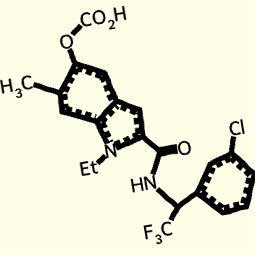 CCn1c(C(=O)NC(c2cccc(Cl)c2)C(F)(F)F)cc2cc(OC(=O)O)c(C)cc21